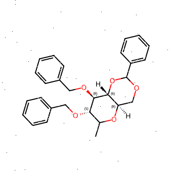 CC1O[C@@H]2COC(c3ccccc3)O[C@H]2[C@H](OCc2ccccc2)[C@H]1OCc1ccccc1